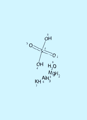 O.O=S(=O)(O)O.[AlH3].[KH].[MgH2]